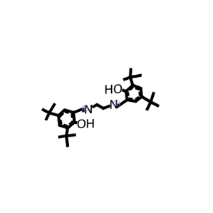 CC(C)(C)c1cc(/C=N/CC/N=C/c2cc(C(C)(C)C)cc(C(C)(C)C)c2O)c(O)c(C(C)(C)C)c1